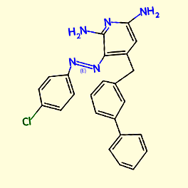 Nc1cc(Cc2cccc(-c3ccccc3)c2)c(/N=N/c2ccc(Cl)cc2)c(N)n1